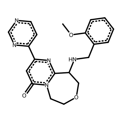 COc1ccccc1CNC1COCCn2c1nc(-c1ccncn1)cc2=O